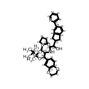 CC(C)(C)[Si](C)(C)O[C@H](c1ccc2c(c1)OCCO2)[C@@H](CN1CCCC1)NC(=O)C(O)C1Cc2ccc(-c3ccccn3)cc2C1